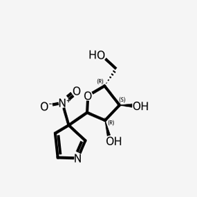 O=[N+]([O-])C1(C2O[C@H](CO)[C@@H](O)[C@H]2O)C=CN=C1